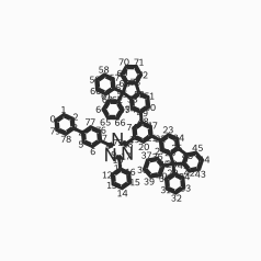 c1ccc(-c2ccc(-c3nc(-c4ccccc4)nc(-c4cc(-c5ccc6c(c5)C(c5ccccc5)(c5ccccc5)c5ccccc5-6)cc(-c5ccc6c(c5)C(c5ccccc5)(c5ccccc5)c5ccccc5-6)c4)n3)cc2)cc1